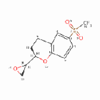 O=S(=O)(c1ccc2c(c1)CC[C@H]([C@H]1CO1)O2)C(F)(F)F